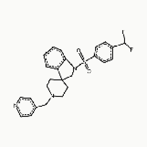 O=S(=O)(c1ccc(C(F)F)cc1)N1CC2(CCN(Cc3ccncc3)CC2)c2ccccc21